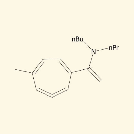 C=C(C1=CC=C(C)C=C=C1)N(CCC)CCCC